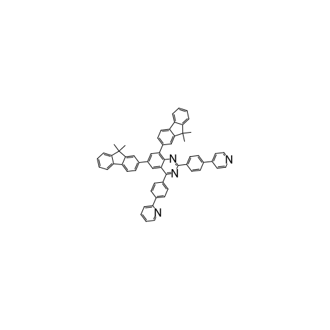 CC1(C)c2ccccc2-c2ccc(-c3cc(-c4ccc5c(c4)C(C)(C)c4ccccc4-5)c4nc(-c5ccc(-c6ccncc6)cc5)nc(-c5ccc(-c6ccccn6)cc5)c4c3)cc21